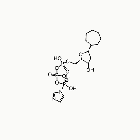 O=P(O)(OC[C@H]1O[C@@H](C2CCCCCC2)CC1O)OP(=O)(O)OP(=O)(O)n1ccnc1